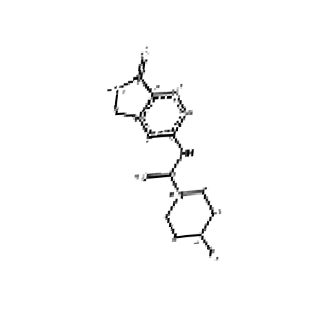 O=C1NCc2cc(NC(=O)N3CCC(F)CC3)cnc21